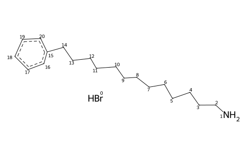 Br.NCCCCCCCCCCCCCc1ccccc1